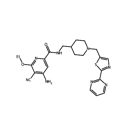 CCOc1nc(C(=O)NCC2CCN(Cc3cnc(-c4ncccn4)s3)CC2)cc(N)c1C#N